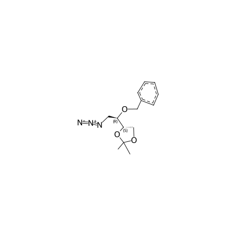 CC1(C)OC[C@@H]([C@@H](CN=[N+]=[N-])OCc2ccccc2)O1